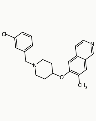 Cc1cc2cnccc2cc1OC1CCN(Cc2cccc(Cl)c2)CC1